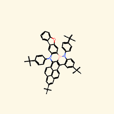 CC(C)(C)c1ccc(N2B3c4cc5oc6ccccc6c5cc4N(c4ccc(C(C)(C)C)cc4)c4c3c(c3ccc5cc(C(C)(C)C)cc6ccc4c3c56)-c3cc(C(C)(C)C)ccc32)cc1